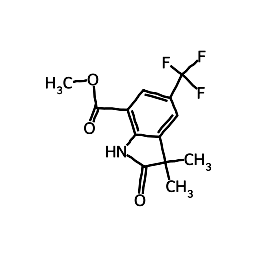 COC(=O)c1cc(C(F)(F)F)cc2c1NC(=O)C2(C)C